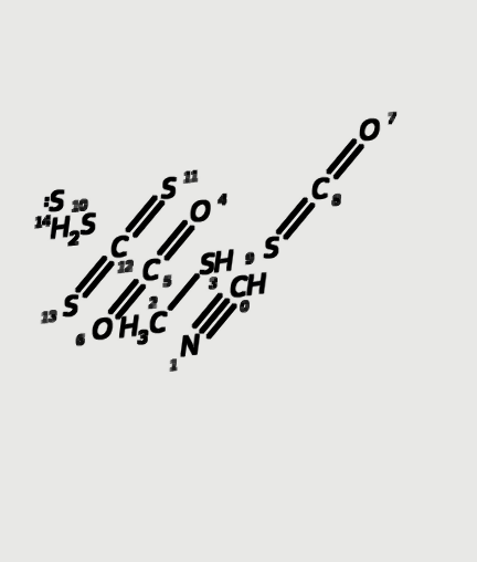 C#N.CS.O=C=O.O=C=S.S.S=C=S.[S]